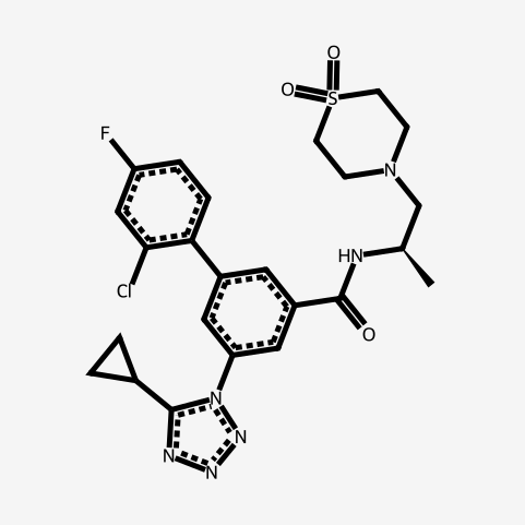 C[C@H](CN1CCS(=O)(=O)CC1)NC(=O)c1cc(-c2ccc(F)cc2Cl)cc(-n2nnnc2C2CC2)c1